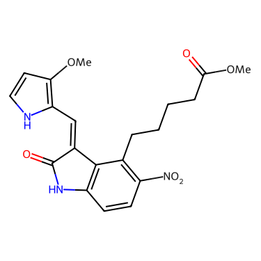 COC(=O)CCCCc1c([N+](=O)[O-])ccc2c1/C(=C/c1[nH]ccc1OC)C(=O)N2